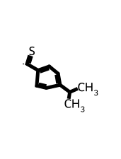 CC(C)c1ccc([C]=S)cc1